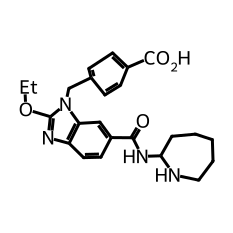 CCOc1nc2ccc(C(=O)NC3CCCCCN3)cc2n1Cc1ccc(C(=O)O)cc1